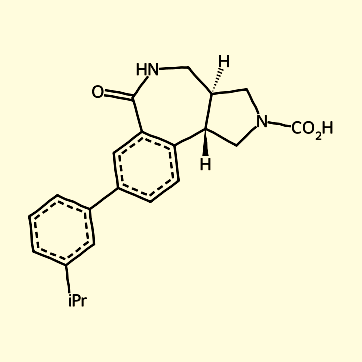 CC(C)c1cccc(-c2ccc3c(c2)C(=O)NC[C@H]2CN(C(=O)O)C[C@H]32)c1